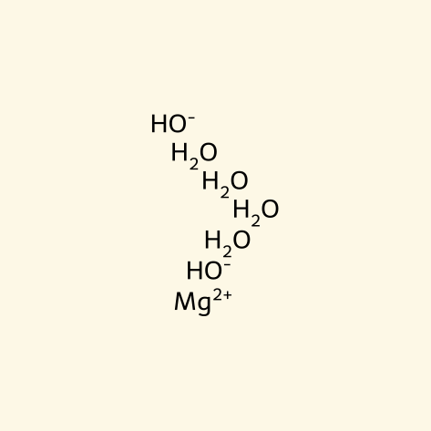 O.O.O.O.[Mg+2].[OH-].[OH-]